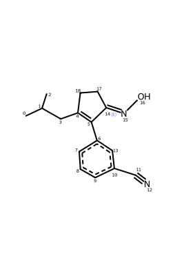 CC(C)CC1=C(c2cccc(C#N)c2)/C(=N/O)CC1